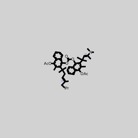 CC(=O)Oc1c(C)c(C(C)(C)/C=C(\C)N(C)C)c(OC(=O)Oc2c(C(C)(C)C/C=C(\C)CC(C)C)c(C)c(OC(C)=O)c3ccccc23)c2ccccc12